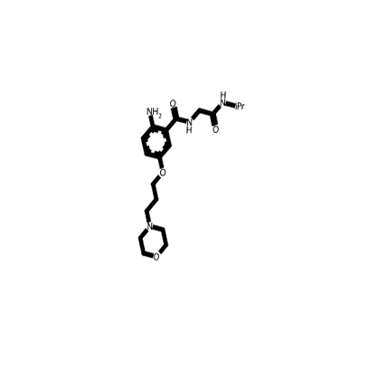 CC(C)NC(=O)CNC(=O)c1cc(OCCCN2CCOCC2)ccc1N